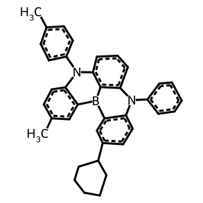 Cc1ccc(N2c3ccc(C)cc3B3c4cc(C5CCCCC5)ccc4N(c4ccccc4)c4cccc2c43)cc1